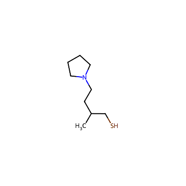 CC(CS)CCN1CCCC1